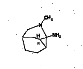 CN1CC2CCC(C1)[C@H](N)C2